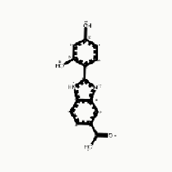 O=C(O)c1ccc2[nH]c(-c3ccc(O)cc3O)nc2c1